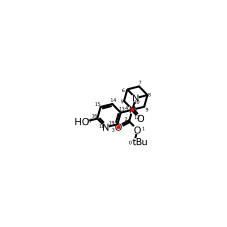 CC(C)(C)OC(=O)N1CC2CC(C1)N2C(=O)c1ccc(O)nc1